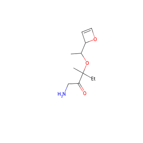 CCC(C)(OC(C)C1C=CO1)C(=O)CN